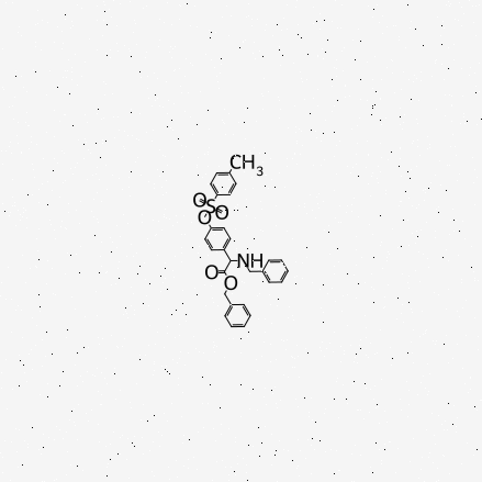 Cc1ccc(S(=O)(=O)Oc2ccc(C(NCc3ccccc3)C(=O)OCc3ccccc3)cc2)cc1